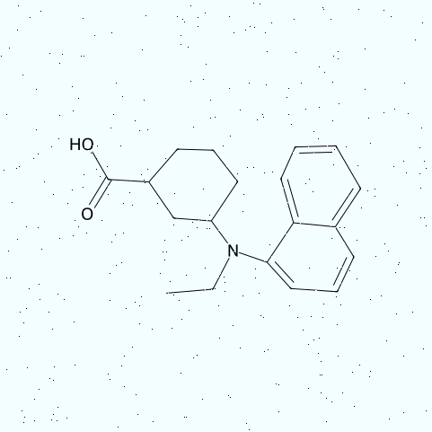 CCN(c1cccc2ccccc12)C1CCCC(C(=O)O)C1